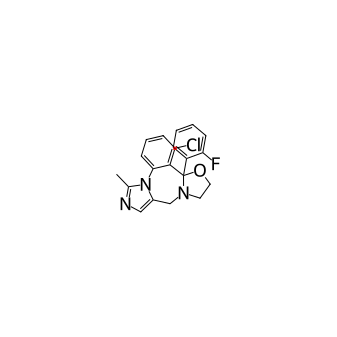 Cc1ncc2n1-c1cccc(Cl)c1C1(c3ccccc3F)OCCN1C2